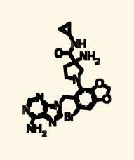 Nc1ncnc2c1ncn2Cc1c(Br)cc2c(c1N1CCC(N)(C(=O)NC3CC3)C1)OCO2